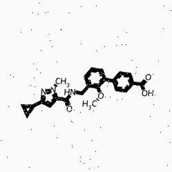 COc1c(CNC(=O)c2cc(C3CC3)nn2C)cccc1-c1ccc(C(=O)O)cc1